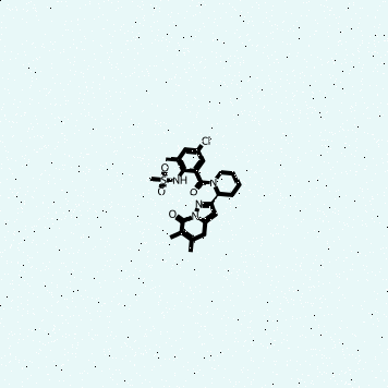 CC1=C(C)C(=O)n2nc([C@@H]3CCCCN3C(=O)c3cc(Cl)cc(C)c3NS(C)(=O)=O)cc2C1